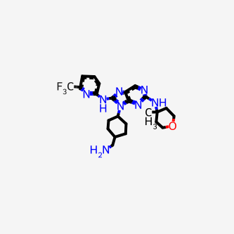 CC1(Nc2ncc3nc(Nc4cccc(C(F)(F)F)n4)n(C4CCC(CN)CC4)c3n2)CCOCC1